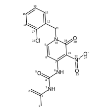 C=C(C)NC(=O)Nc1ccn(Cc2ccccc2Cl)c(=O)c1[N+](=O)[O-]